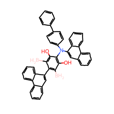 Bc1c(O)c(N(c2ccc(-c3ccccc3)cc2)c2cc3ccccc3c3ccccc23)c(O)c(B)c1-c1cc2ccccc2c2ccccc12